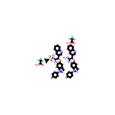 CC(N)C(Oc1ccc2c(cnn2-c2ccc(F)cc2)c1)c1cnc2ccccc2c1.C[C@H](NS(=O)(=O)C1CC1)[C@H](Oc1ccc2c(cnn2-c2ccc(F)cc2)c1)c1cnc2ccccc2c1.O=C(O)C(F)(F)F.O=C(O)C(F)(F)F